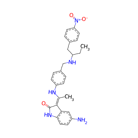 CCC(Cc1ccc([N+](=O)[O-])cc1)NCc1ccc(N/C(C)=C2\C(=O)Nc3ccc(N)cc32)cc1